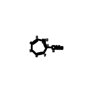 COC1=NC=CCC=C1